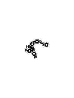 COc1ccc(-c2nnc(NC3CCN(Cc4ccc(OCCCN5CCCCC5)cc4)CC3)c3cc(OC)ccc23)cc1